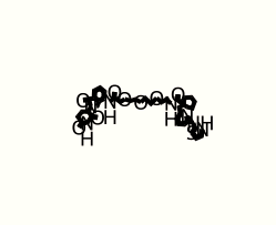 O=C1CCC(N2Cc3c(NC(=O)COCCOCCOCCNC(=O)C4(Cc5cccc(Nc6nccs6)n5)CCCCC4)cccc3C2=O)C(=O)N1